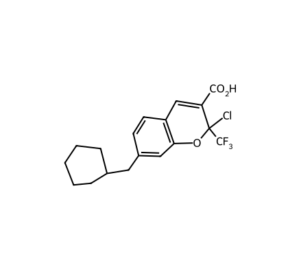 O=C(O)C1=Cc2ccc(CC3CCCCC3)cc2OC1(Cl)C(F)(F)F